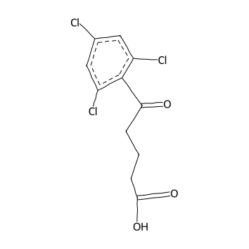 O=C(O)CCCC(=O)c1c(Cl)cc(Cl)cc1Cl